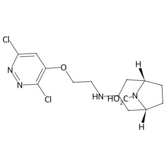 O=C(O)N1[C@@H]2CC[C@H]1CC(NCCOc1cc(Cl)nnc1Cl)C2